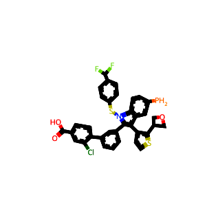 O=C(O)c1ccc(-c2cccc(-c3c(-c4ccsc4C4COC4)c4cc(P)ccc4n3Sc3ccc(C(F)F)cc3)c2)c(Cl)c1